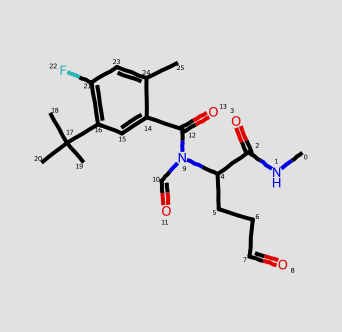 CNC(=O)C(CCC=O)N(C=O)C(=O)c1cc(C(C)(C)C)c(F)cc1C